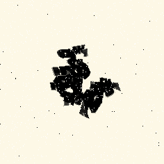 C=P(O)(O)C(=O)c1ccc2[nH]c(C(=O)N[C@H]3CN(C(C)C)CC[C@H]4CC[C@@H](C(=O)N[C@@H](CCC(N)=O)c5ccccn5)N4C3=O)cc2c1